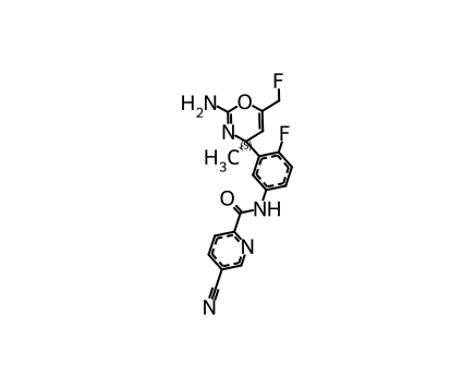 C[C@@]1(c2cc(NC(=O)c3ccc(C#N)cn3)ccc2F)C=C(CF)OC(N)=N1